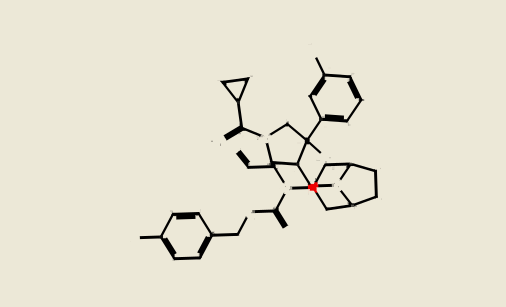 C=CCN(C(=O)NCc1ccc(C(F)(F)F)cc1)C1CC2CCC(C1)N2CC1CN(C(=O)C2CC2)CC1(O)c1cccc(F)c1